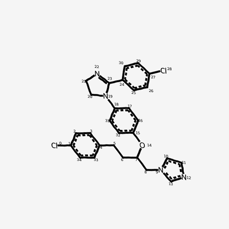 Clc1ccc(CCC(Cn2ccnc2)Oc2ccc(N3CCN=C3c3ccc(Cl)cc3)cc2)cc1